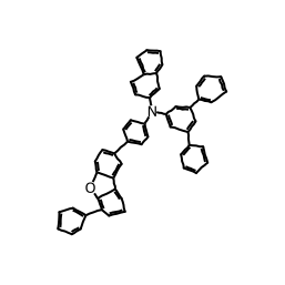 c1ccc(-c2cc(-c3ccccc3)cc(N(c3ccc(-c4ccc5oc6c(-c7ccccc7)cccc6c5c4)cc3)c3ccc4ccccc4c3)c2)cc1